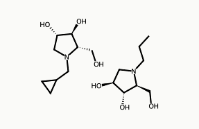 CCCN1C[C@H](O)[C@@H](O)[C@@H]1CO.OC[C@H]1[C@H](O)[C@@H](O)CN1CC1CC1